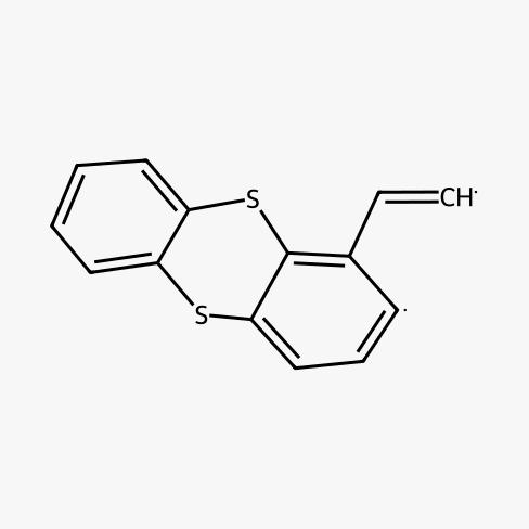 [CH]=Cc1[c]ccc2c1Sc1ccccc1S2